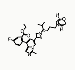 CCOC(=O)c1cc(F)ccc1-c1cc(C2CN([C@@H](CCCN3C[C@H]4C[C@@H]3CO4)C(C)C)C2)cn2c(C)ncc12